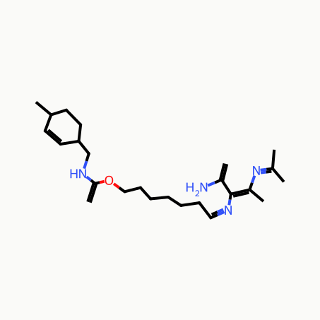 C=C(NCC1C=CC(C)CC1)OCCCCCC/C=N\C(C(=C)N)=C(/C)N=C(C)C